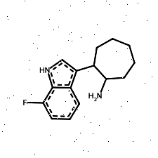 NC1CCCCCC1c1c[nH]c2c(F)cccc12